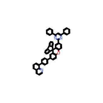 c1ccc(-c2cc(-c3ccccc3)nc(-c3ccc4c(c3)C3(c5cc(-c6ccc(-c7cccc8cccnc78)cc6)ccc5O4)c4ccccc4-c4ccccc43)n2)cc1